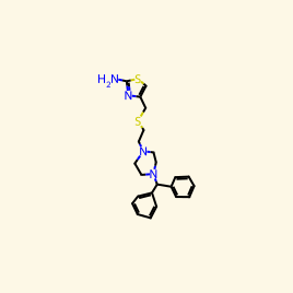 Nc1nc(CSCCN2CCN(C(c3ccccc3)c3ccccc3)CC2)cs1